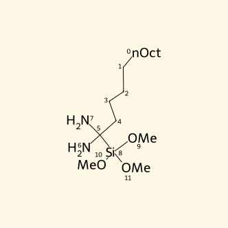 CCCCCCCCCCCCC(N)(N)[Si](OC)(OC)OC